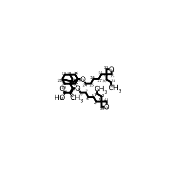 CCCC1(CCCCCOC(=C(C)C(=O)O)C23CC4CC(CC(OCCCCCC5(CCC)COC5)(C4)C2)C3)COC1